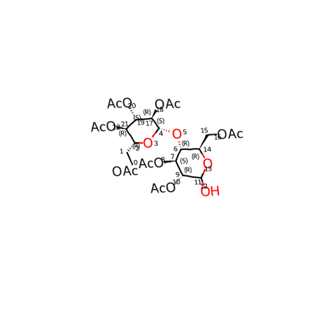 CC(=O)OC[C@H]1O[C@@H](O[C@H]2[C@H](OC(C)=O)[C@@H](OC(C)=O)C(O)O[C@@H]2COC(C)=O)[C@H](OC(C)=O)[C@@H](OC(C)=O)[C@@H]1OC(C)=O